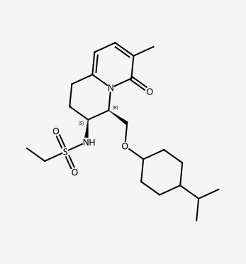 CCS(=O)(=O)N[C@H]1CCc2ccc(C)c(=O)n2[C@H]1COC1CCC(C(C)C)CC1